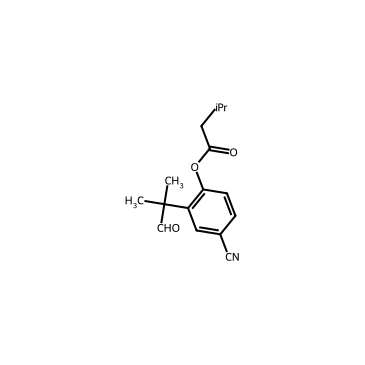 CC(C)CC(=O)Oc1ccc(C#N)cc1C(C)(C)C=O